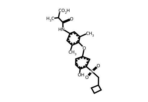 Cc1cc(NC(=O)C(C)C(=O)O)cc(C)c1Oc1ccc(O)c(S(=O)(=O)CC2CCC2)c1